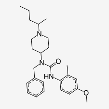 CCCC(C)N1CCC(N(Cc2ccccc2)C(=O)Nc2ccc(OC)cc2C)CC1